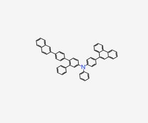 c1ccc(-c2cc(N(c3ccccc3)c3ccc(-c4cc5ccccc5c5ccccc45)cc3)ccc2-c2ccc(-c3ccc4ccccc4c3)cc2)cc1